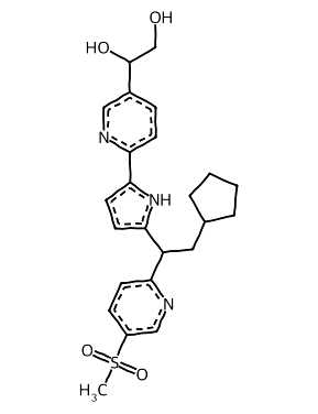 CS(=O)(=O)c1ccc(C(CC2CCCC2)c2ccc(-c3ccc(C(O)CO)cn3)[nH]2)nc1